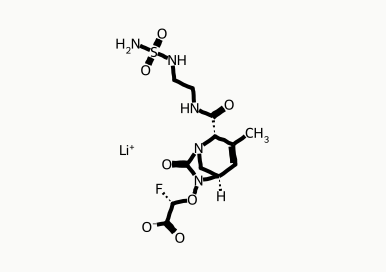 CC1=C[C@@H]2CN(C(=O)N2O[C@@H](F)C(=O)[O-])[C@@H]1C(=O)NCCNS(N)(=O)=O.[Li+]